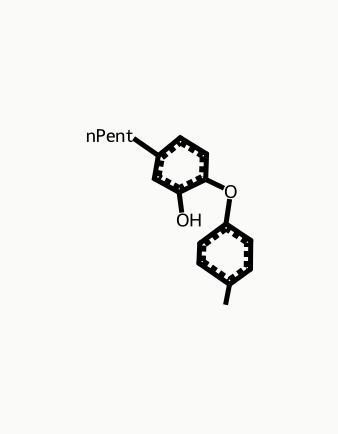 CCCCCc1ccc(Oc2ccc(C)cc2)c(O)c1